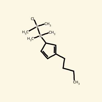 CCCCC1=CC(S(C)(C)S(C)(C)Cl)C=C1